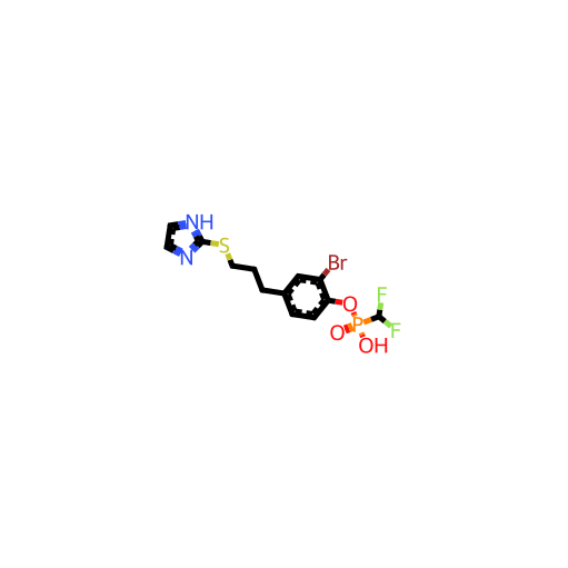 O=P(O)(Oc1ccc(CCCSc2ncc[nH]2)cc1Br)C(F)F